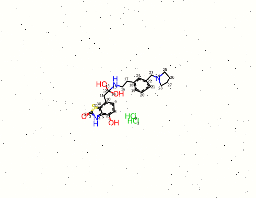 Cl.Cl.O=c1[nH]c2c(O)ccc(CC(O)(O)NCCc3cccc(CN4CCCC4)c3)c2s1